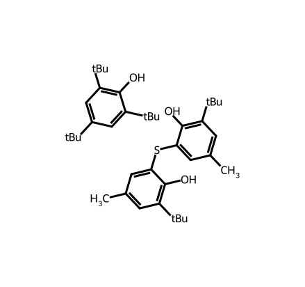 CC(C)(C)c1cc(C(C)(C)C)c(O)c(C(C)(C)C)c1.Cc1cc(Sc2cc(C)cc(C(C)(C)C)c2O)c(O)c(C(C)(C)C)c1